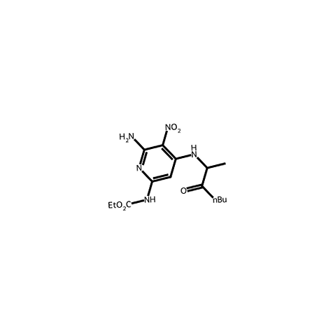 CCCCC(=O)C(C)Nc1cc(NC(=O)OCC)nc(N)c1[N+](=O)[O-]